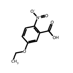 CCOc1ccc([N+](=O)[O-])c(C(=O)O)c1